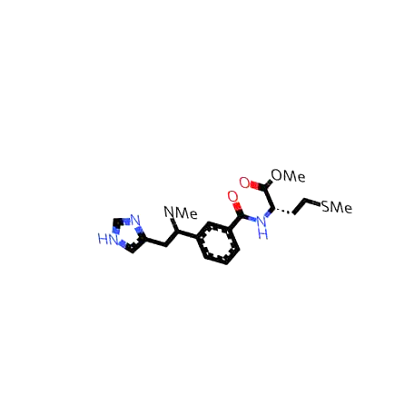 CNC(Cc1c[nH]cn1)c1cccc(C(=O)N[C@@H](CCSC)C(=O)OC)c1